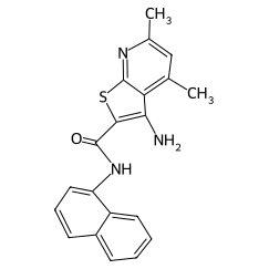 Cc1cc(C)c2c(N)c(C(=O)Nc3cccc4ccccc34)sc2n1